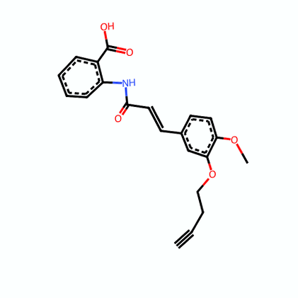 C#CCCOc1cc(C=CC(=O)Nc2ccccc2C(=O)O)ccc1OC